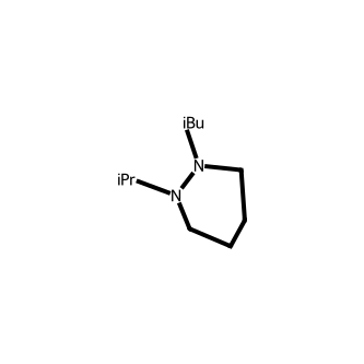 CCC(C)N1CCCCN1C(C)C